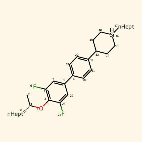 CCCCCCC[C@H](C)Oc1c(F)cc(-c2ccc(C3CC[SiH](CCCCCCC)CC3)cc2)cc1F